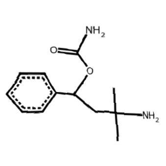 CC(C)(N)CC(OC(N)=O)c1ccccc1